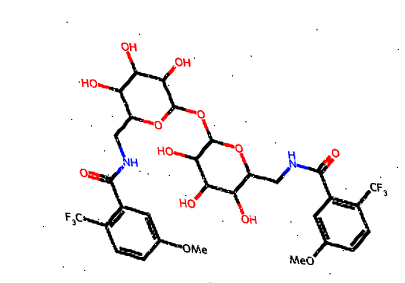 COc1ccc(C(F)(F)F)c(C(=O)NCC2OC(OC3OC(CNC(=O)c4cc(OC)ccc4C(F)(F)F)C(O)C(O)C3O)C(O)C(O)C2O)c1